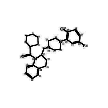 O=C(C1CCCCC1)N1c2ccccc2CCC1CN1CCN(c2cc(F)ccc2Cl)CC1